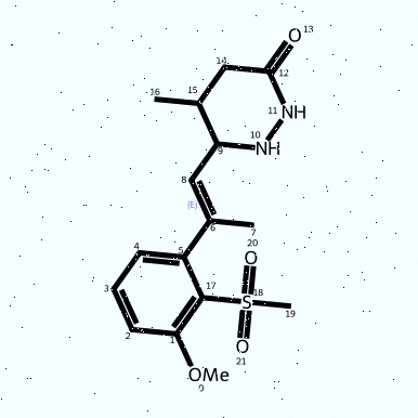 COc1cccc(/C(C)=C/C2NNC(=O)CC2C)c1S(C)(=O)=O